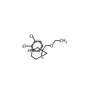 CCOCC12CNCC[C@]1(c1ccc(Cl)c(Cl)c1)C2